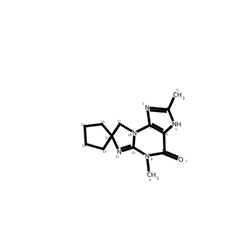 Cc1nc2c([nH]1)C(=O)N(C)C1=NC3(CCCC3)CN12